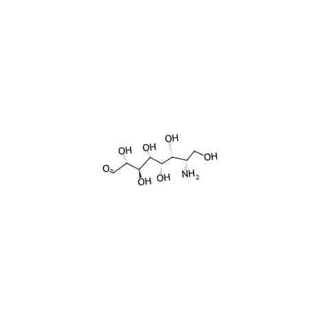 N[C@@H](CO)[C@@H](O)[C@H](O)[C@@H](O)[C@@H](O)[C@@H](O)C=O